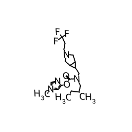 CCC(C)CN(CC1C2CN(CCC(F)(F)F)CC21)C(=O)Oc1cn(C)cn1